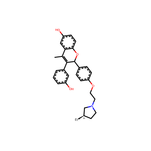 CC[C@@H]1CCN(CCOc2ccc(C3Oc4ccc(O)cc4C(C)=C3c3cccc(O)c3)cc2)C1